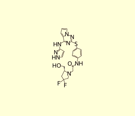 O=C(CN1CC(F)(F)C[C@H]1CO)Nc1ccc(Sc2nc(Nc3cc[nH]n3)c3cccn3n2)cc1